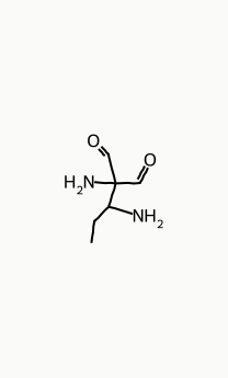 CCC(N)C(N)(C=O)C=O